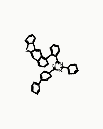 c1ccc(-c2ccc(-c3nc(-c4ccccc4)nc(-c4ccccc4-c4cccc5cc6sc7ccccc7c6cc45)n3)cc2)cc1